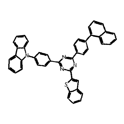 c1ccc2sc(-c3nc(-c4ccc(-c5cccc6ccccc56)cc4)nc(-c4ccc(-n5c6ccccc6c6ccccc65)cc4)n3)cc2c1